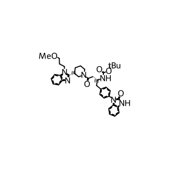 COCCCn1c([C@@H]2CCCN(C(=O)C[C@@H](Cc3ccc(-n4c(=O)[nH]c5ccccc54)cc3)NC(=O)OC(C)(C)C)C2)nc2ccccc21